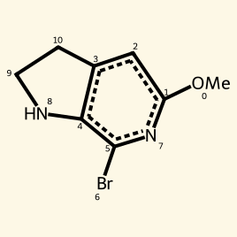 COc1cc2c(c(Br)n1)NCC2